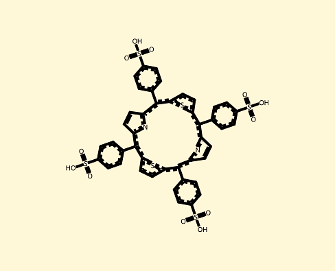 O=S(=O)(O)c1ccc(-c2c3nc(c(-c4ccc(S(=O)(=O)O)cc4)c4ccc(s4)c(-c4ccc(S(=O)(=O)O)cc4)c4nc(c(-c5ccc(S(=O)(=O)O)cc5)c5ccc2s5)C=C4)C=C3)cc1